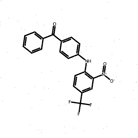 O=C(c1ccccc1)c1ccc(Nc2ccc(C(F)(F)F)cc2[N+](=O)[O-])cc1